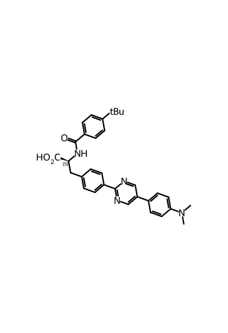 CN(C)c1ccc(-c2cnc(-c3ccc(C[C@H](NC(=O)c4ccc(C(C)(C)C)cc4)C(=O)O)cc3)nc2)cc1